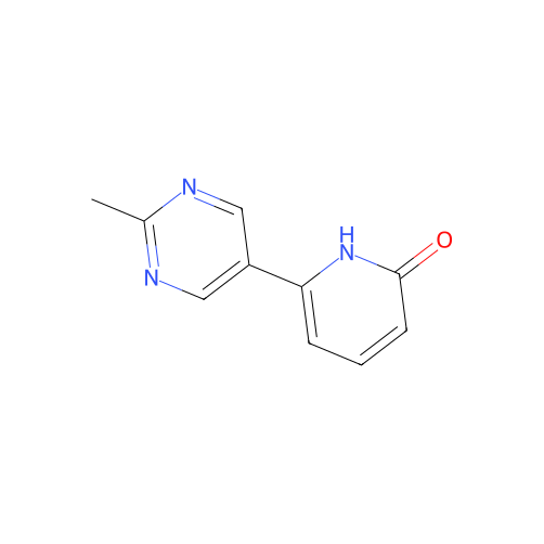 Cc1ncc(-c2cccc(=O)[nH]2)cn1